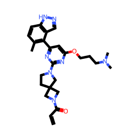 C=CC(=O)N1CC2(CCN(c3nc(OCCCN(C)C)cc(-c4c(C)ccc5[nH]ncc45)n3)C2)C1